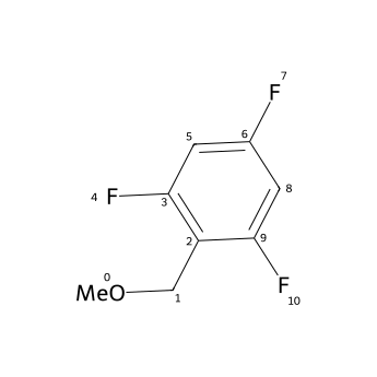 COCc1c(F)cc(F)cc1F